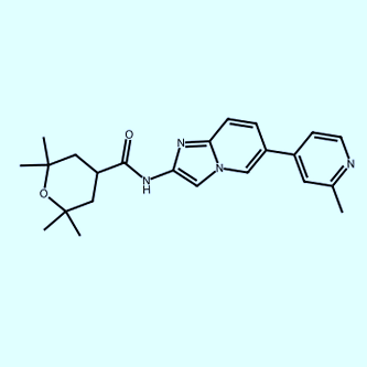 Cc1cc(-c2ccc3nc(NC(=O)C4CC(C)(C)OC(C)(C)C4)cn3c2)ccn1